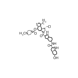 Cc1csc2c(OC(=O)N3CCN(C)CC3)cc3c(c12)[C@H](CCl)CN3C(=O)c1cc2cc(NC(=O)c3cc4cc(O)ccc4[nH]3)ccc2[nH]1